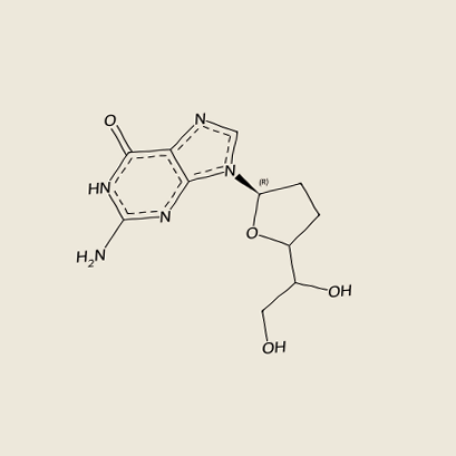 Nc1nc2c(ncn2[C@H]2CCC(C(O)CO)O2)c(=O)[nH]1